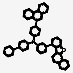 c1ccc(-c2ccc(N(c3ccc(-c4cc5ccccc5c5ccccc45)cc3)c3cccc(-c4cccc5oc6c7ccccc7ccc6c45)c3)cc2)cc1